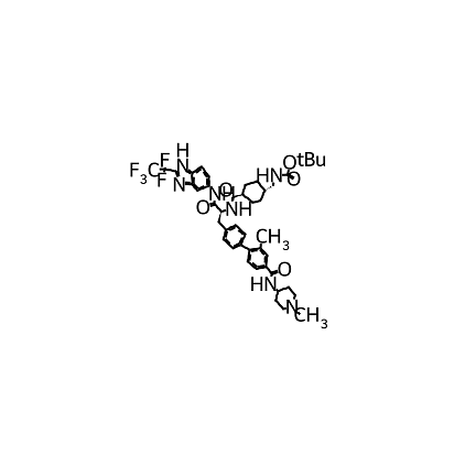 Cc1cc(C(=O)NC2CCN(C)CC2)ccc1-c1ccc(C[C@H](NC(=O)[C@H]2CC[C@H](CNC(=O)OC(C)(C)C)CC2)C(=O)Nc2ccc3[nH]c(C(F)(F)C(F)(F)F)nc3c2)cc1